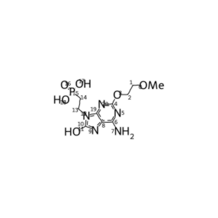 COCCOc1nc(N)c2nc(O)n(CCP(=O)(O)O)c2n1